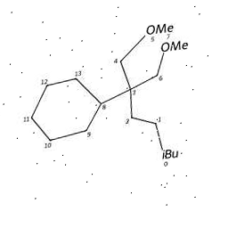 CCC(C)CCC(COC)(COC)C1CCCCC1